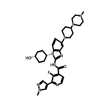 CN1CCN(C2CCN(c3ccc4c(c3)nc(NC(=O)c3ccnc(-c5cnn(C)c5)c3F)n4[C@H]3CC[C@@H](O)CC3)CC2)CC1